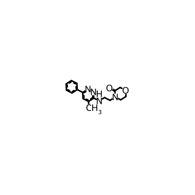 Cc1cc(-c2ccccc2)nnc1NCCN1CCOCC1=O